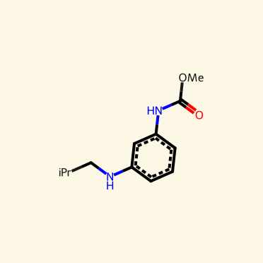 COC(=O)Nc1cccc(NCC(C)C)c1